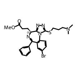 COC(=O)CC[C@@H]1N=C(c2ccccc2)c2cc(Br)ccc2-n2c(SCCCN(C)C)nnc21